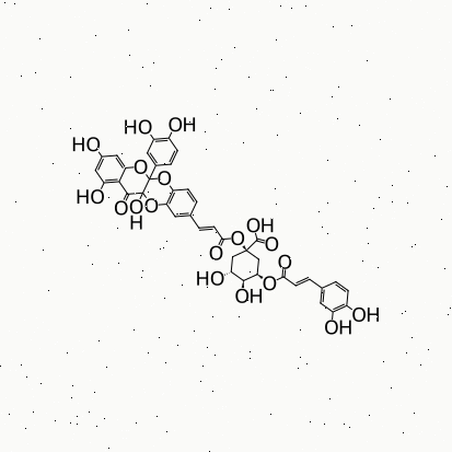 O=C(/C=C/c1ccc(O)c(O)c1)O[C@@H]1C[C@@](OC(=O)/C=C/c2ccc3c(c2)OC2(O)C(=O)c4c(O)cc(O)cc4OC2(c2ccc(O)c(O)c2)O3)(C(=O)O)C[C@@H](O)[C@@H]1O